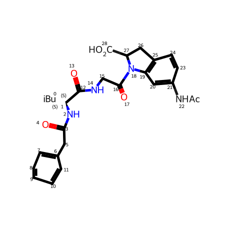 CC[C@H](C)[C@H](NC(=O)Cc1ccccc1)C(=O)NCC(=O)N1c2cc(NC(C)=O)ccc2CC1C(=O)O